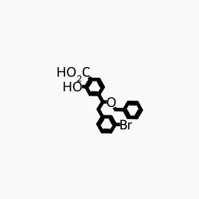 O=C(O)c1ccc(C(Cc2cccc(Br)c2)OCc2ccccc2)cc1O